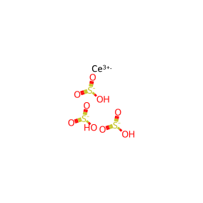 O=[S-](=O)O.O=[S-](=O)O.O=[S-](=O)O.[Ce+3]